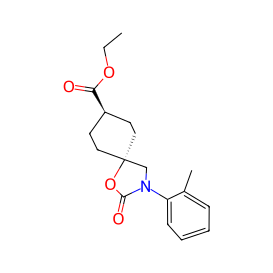 CCOC(=O)[C@H]1CC[C@]2(CC1)CN(c1ccccc1C)C(=O)O2